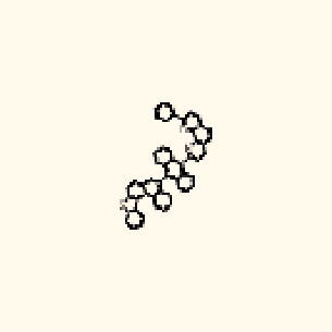 c1ccc(-c2ccc3ccc4ccc(-c5c6ccccc6c(-c6cc7ccc8sc9ccccc9c8c7c7ccccc67)c6ccccc56)nc4c3n2)cc1